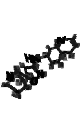 c1cnc2cc(NC3=NOC4(C3)CN3CCC4CC3)ccc2c1